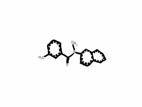 Cc1cccc(C(=O)N(C)c2ccc3ccccc3c2)c1